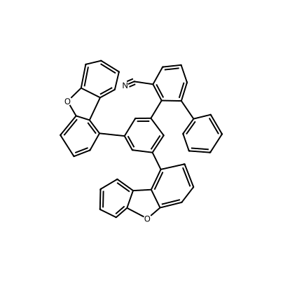 N#Cc1cccc(-c2ccccc2)c1-c1cc(-c2cccc3oc4ccccc4c23)cc(-c2cccc3oc4ccccc4c23)c1